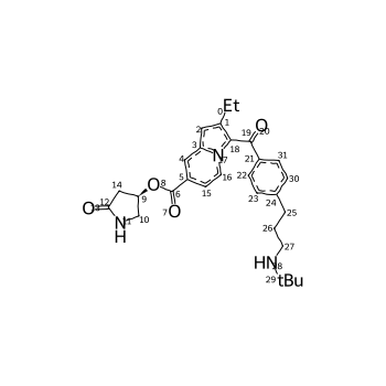 CCc1cc2cc(C(=O)O[C@H]3CNC(=O)C3)ccn2c1C(=O)c1ccc(CCCNC(C)(C)C)cc1